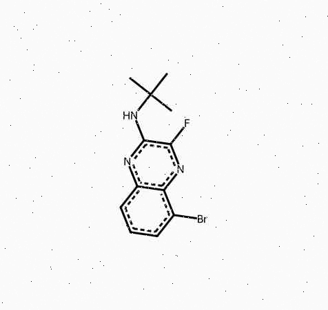 CC(C)(C)Nc1nc2cccc(Br)c2nc1F